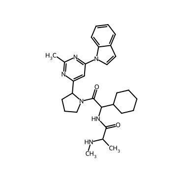 CNC(C)C(=O)NC(C(=O)N1CCCC1c1cc(-n2ccc3ccccc32)nc(C)n1)C1CCCCC1